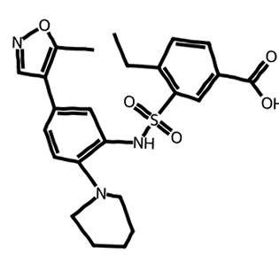 CCc1ccc(C(=O)O)cc1S(=O)(=O)Nc1cc(-c2cnoc2C)ccc1N1CCCCC1